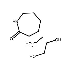 CC(=O)O.O=C1CCCCCN1.OCCO